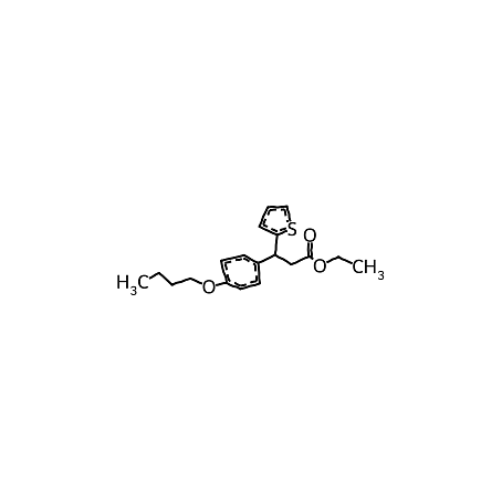 CCCCOc1ccc(C(CC(=O)OCC)c2cccs2)cc1